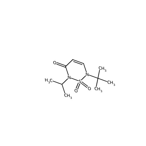 CC(C)N1C(=O)C=CN(C(C)(C)C)S1(=O)=O